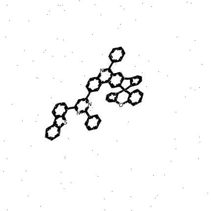 c1ccc(-c2nc(-c3ccc4nc(-c5ccccc5)c5cc6c(cc5c4c3)C3(c4ccccc4Oc4ccccc43)c3ccccc3-6)cc(-c3cccc4c3sc3ccccc34)n2)cc1